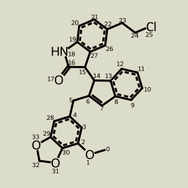 COc1cc(CC2=Cc3ccccc3C2C2C(=O)Nc3ccc(CCCl)cc32)cc2c1OCO2